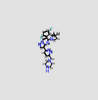 Fc1ccc(F)c([C@@]23C[C@@H]2CCN3c2ccn3ncc(-c4ccc(CN5CCNCC5)nn4)c3n2)c1